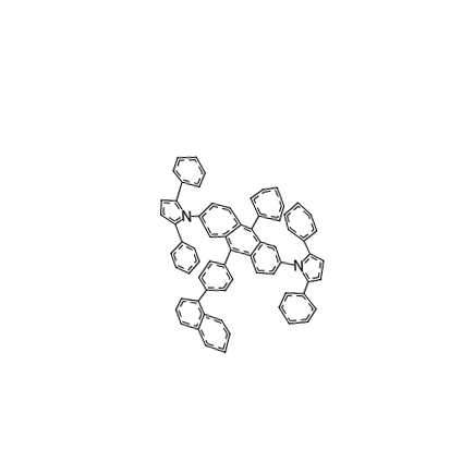 c1ccc(-c2c3ccc(-n4c(-c5ccccc5)ccc4-c4ccccc4)cc3c(-c3ccc(-c4cccc5ccccc45)cc3)c3ccc(-n4c(-c5ccccc5)ccc4-c4ccccc4)cc23)cc1